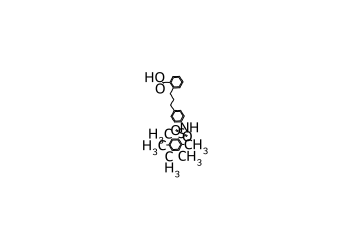 Cc1c(C)c(C)c(S(=O)(=O)Nc2ccc(CCCc3ccccc3C(=O)O)cc2)c(C)c1C